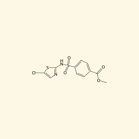 COC(=O)c1ccc(S(=O)(=O)Nc2ncc(Cl)s2)cc1